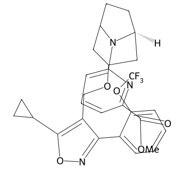 COC(=O)c1cccc(N2C3CC[C@H]2CC(OCc2c(-c4ccccc4OC(F)(F)F)noc2C2CC2)C3)n1